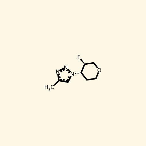 Cc1cn([C@H]2CCOC[C@@H]2F)nn1